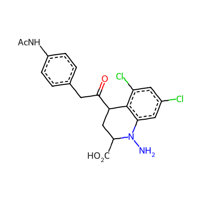 CC(=O)Nc1ccc(CC(=O)C2CC(C(=O)O)N(N)c3cc(Cl)cc(Cl)c32)cc1